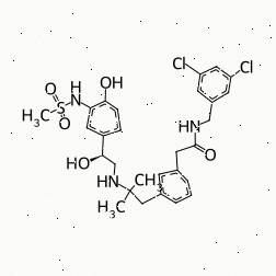 CC(C)(Cc1cccc(CC(=O)NCc2cc(Cl)cc(Cl)c2)c1)NC[C@@H](O)c1ccc(O)c(NS(C)(=O)=O)c1